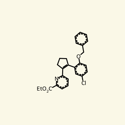 CCOC(=O)c1cccc(C2=C(c3cc(Cl)ccc3OCc3ccccc3)CCC2)n1